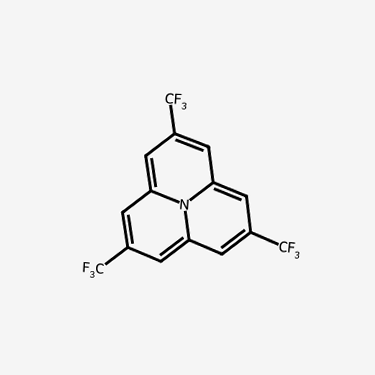 FC(F)(F)C1=CC2=CC(C(F)(F)F)=CC3=CC(C(F)(F)F)=CC(=C1)N23